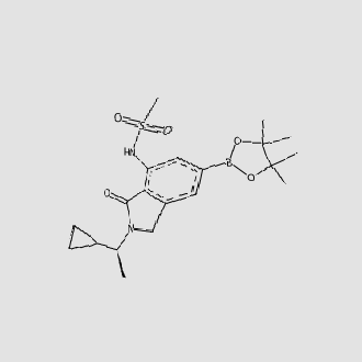 C[C@@H](C1CC1)N1Cc2cc(B3OC(C)(C)C(C)(C)O3)cc(NS(C)(=O)=O)c2C1=O